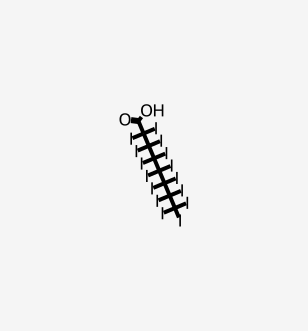 O=C(O)C(I)(I)C(I)(I)C(I)(I)C(I)(I)C(I)(I)C(I)(I)C(I)(I)I